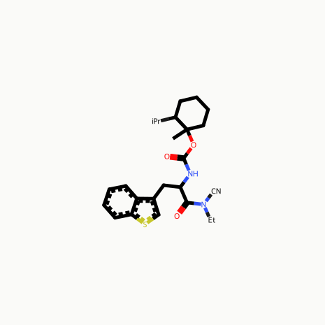 CCN(C#N)C(=O)C(Cc1csc2ccccc12)NC(=O)OC1(C)CCCCC1C(C)C